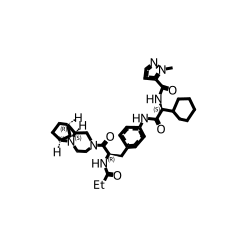 CCC(=O)N[C@H](Cc1ccc(NC(=O)[C@@H](NC(=O)c2ccnn2C)C2CCCCC2)cc1)C(=O)N1CCN2[C@H]3CC[C@H](C3)[C@H]2C1